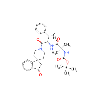 C[C@@H](c1ccccc1)[C@@H](NC(=O)C(C)(C)NC(=O)OC(C)(C)C)C(=O)N1CCC2(CC1)CC(=O)c1ccccc12